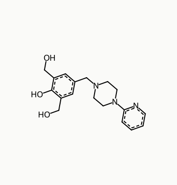 OCc1cc(CN2CCN(c3ccccn3)CC2)cc(CO)c1O